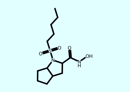 CCCCCS(=O)(=O)N1C(C(=O)NO)CC2CCCC21